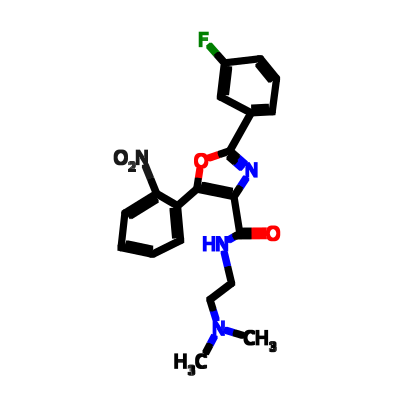 CN(C)CCNC(=O)c1nc(-c2cccc(F)c2)oc1-c1ccccc1[N+](=O)[O-]